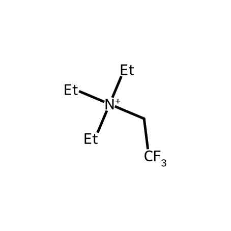 CC[N+](CC)(CC)CC(F)(F)F